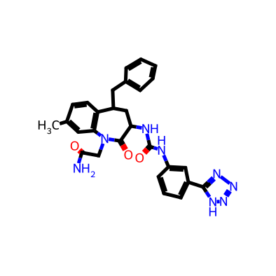 Cc1ccc2c(c1)N(CC(N)=O)C(=O)C(NC(=O)Nc1cccc(-c3nnn[nH]3)c1)CC2Cc1ccccc1